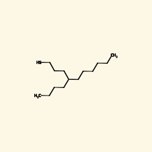 CCCCCCC(CCCC)CCCS